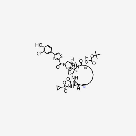 CC(C)(C)OC(=O)N[C@H]1CCCCC/C=C\[C@@H]2C[C@@]2(C(=O)NS(=O)(=O)C2CC2)NC(=O)[C@@H]2[C@H]3CN(C(=O)c4nc(-c5ccc(O)c(Cl)c5)cs4)C[C@H]3CN2C1=O